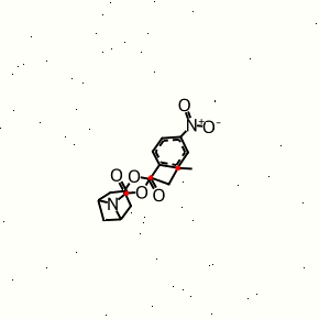 CCCCOC(=O)N1C2CC(OC(=O)c3ccc([N+](=O)[O-])cc3)CC1C2